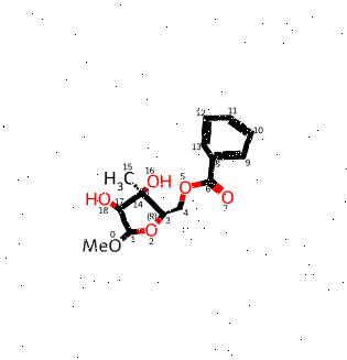 COC1O[C@H](COC(=O)c2ccccc2)[C@](C)(O)C1O